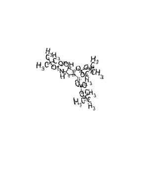 CC(C)(C)OC(=O)N[C@@H]1CC(COC(=O)OC(C)(C)C)[C@@H](OC(=O)OC(C)(C)C)[C@@H]1O